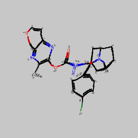 COc1nc2occc2nc1OC(=O)NC1CC2CCC(C1)N2Cc1ccc(F)cc1